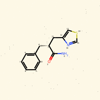 NC(=O)[C@H](Cc1ccccc1)Cc1cscn1